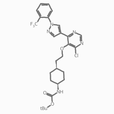 CC(C)(C)OC(=O)N[C@H]1CC[C@@H](CCOc2c(Cl)ncnc2-c2cnn(-c3ccccc3C(F)(F)F)c2)CC1